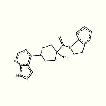 NC1(C(=O)N2CCc3ccccc32)CCN(c2ncnc3[nH]ccc23)CC1